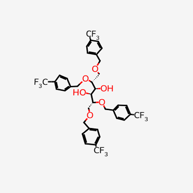 O[C@@H]([C@H](O)[C@@H](COCc1ccc(C(F)(F)F)cc1)OCc1ccc(C(F)(F)F)cc1)[C@@H](COCc1ccc(C(F)(F)F)cc1)OCc1ccc(C(F)(F)F)cc1